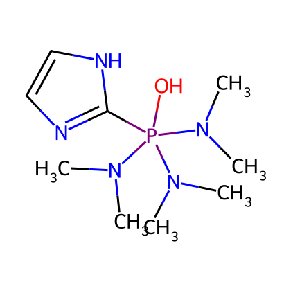 CN(C)P(O)(c1ncc[nH]1)(N(C)C)N(C)C